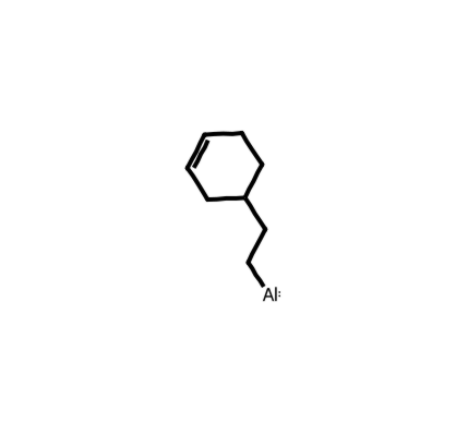 [Al][CH2]CC1CC=CCC1